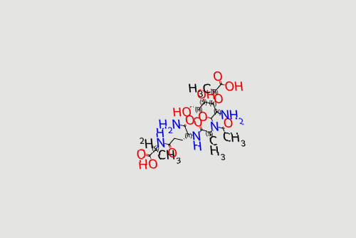 [2H][C@@](C)(NC(=O)CC[C@@H](NC(=O)[C@H](C)N(C(C)=O)C1O[C@H](CO)[C@@H](O)[C@H](O[C@H](C)C(=O)O)[C@H]1N)C(N)=O)C(=O)O